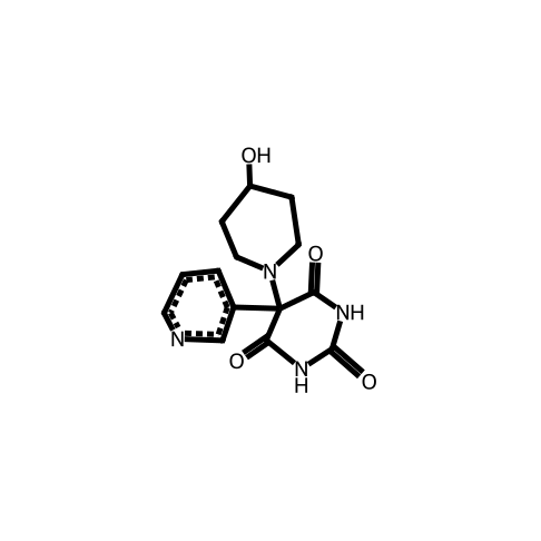 O=C1NC(=O)C(c2cccnc2)(N2CCC(O)CC2)C(=O)N1